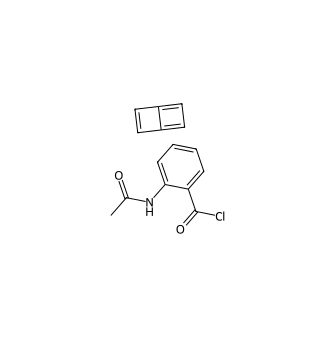 CC(=O)Nc1ccccc1C(=O)Cl.c1cc2ccc1-2